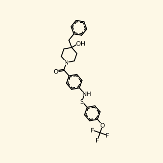 O=C(c1ccc(NSc2ccc(OC(F)(F)F)cc2)cc1)N1CCC(O)(Cc2ccccc2)CC1